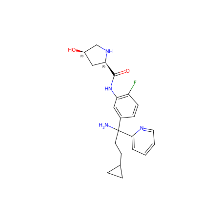 NC(CCC1CC1)(c1ccc(F)c(NC(=O)[C@H]2C[C@@H](O)CN2)c1)c1ccccn1